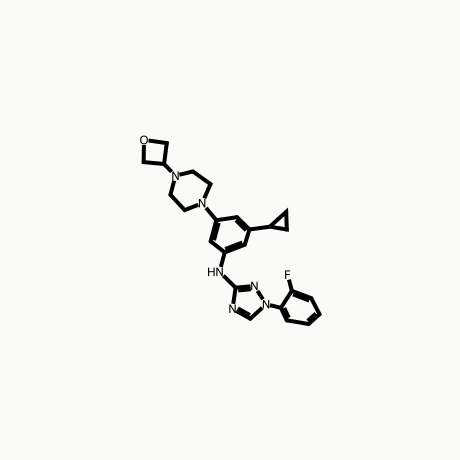 Fc1ccccc1-n1cnc(Nc2cc(C3CC3)cc(N3CCN(C4COC4)CC3)c2)n1